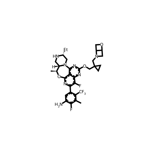 CC[C@@H]1CN2c3nc(OCC4(CN5CC6OCC65)CC4)nc4c(F)c(-c5cc(N)c(F)c(C)c5C(F)(F)F)nc(c34)O[C@@H](C)[C@@H]2CN1